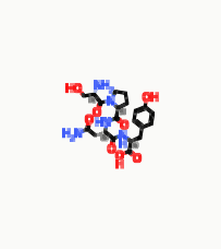 NC(=O)C[C@H](NC(=O)[C@@H]1CCCN1C(=O)[C@@H](N)CO)C(=O)N[C@@H](Cc1ccc(O)cc1)C(=O)O